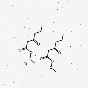 CCCC(=O)CC(=O)OOC.CCCC(=O)CC(=O)OOC.[Ti]